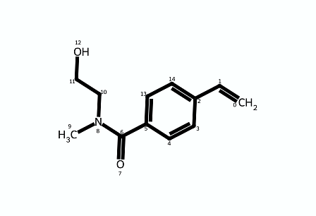 C=Cc1ccc(C(=O)N(C)CCO)cc1